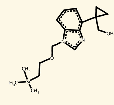 C[Si](C)(C)CCOCn1cnc2c(C3(CO)CC3)cccc21